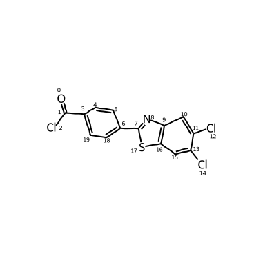 O=C(Cl)c1ccc(-c2nc3cc(Cl)c(Cl)cc3s2)cc1